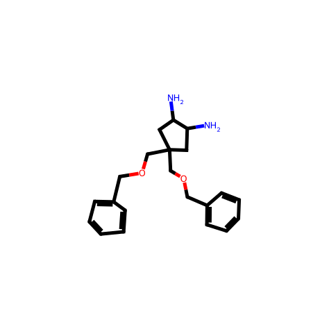 NC1CC(COCc2ccccc2)(COCc2ccccc2)CC1N